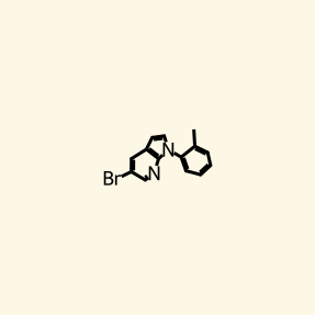 Cc1ccccc1-n1ccc2cc(Br)cnc21